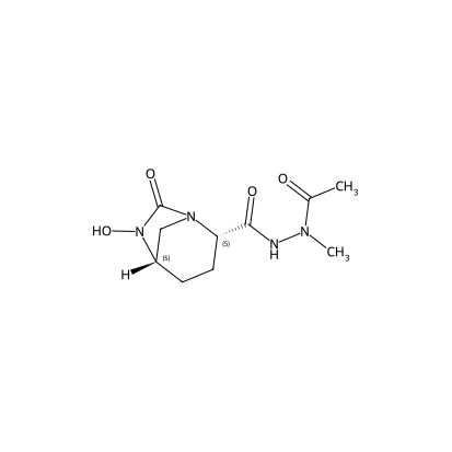 CC(=O)N(C)NC(=O)[C@@H]1CC[C@H]2CN1C(=O)N2O